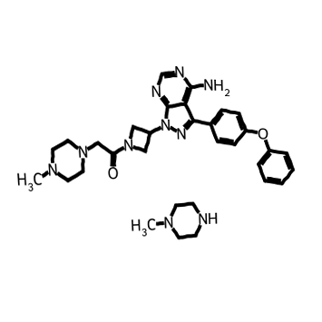 CN1CCN(CC(=O)N2CC(n3nc(-c4ccc(Oc5ccccc5)cc4)c4c(N)ncnc43)C2)CC1.CN1CCNCC1